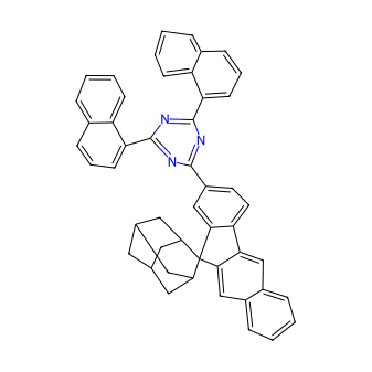 c1ccc2cc3c(cc2c1)-c1ccc(-c2nc(-c4cccc5ccccc45)nc(-c4cccc5ccccc45)n2)cc1C31C2CC3CC(C2)CC1C3